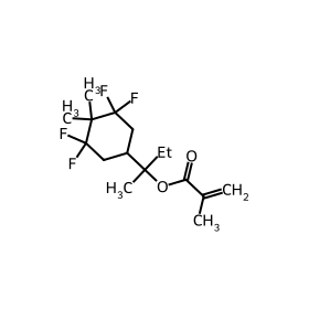 C=C(C)C(=O)OC(C)(CC)C1CC(F)(F)C(C)(C)C(F)(F)C1